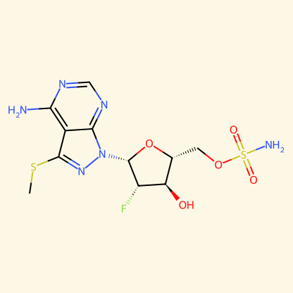 CSc1nn([C@@H]2O[C@H](COS(N)(=O)=O)[C@@H](O)[C@@H]2F)c2ncnc(N)c12